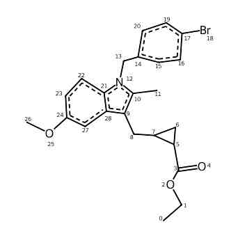 CCOC(=O)C1CC1Cc1c(C)n(Cc2ccc(Br)cc2)c2ccc(OC)cc12